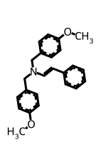 COc1ccc(CN(C=Cc2ccccc2)Cc2ccc(OC)cc2)cc1